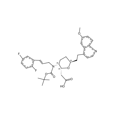 COc1ccc2nccc(CC[C@@H]3CC[C@@H](N(CC=Cc4cc(F)ccc4F)C(=O)OC(C)(C)C)[C@@H](CC(=O)O)O3)c2c1